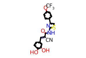 N#C/C(=C\c1ccc(O)c(O)c1)C(=O)Nc1nc(-c2ccc(OC(F)(F)F)cc2)cs1